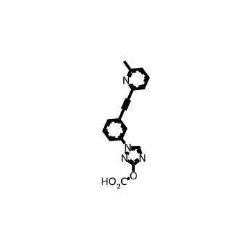 Cc1cccc(C#Cc2cccc(-n3cnc(OC(=O)O)n3)c2)n1